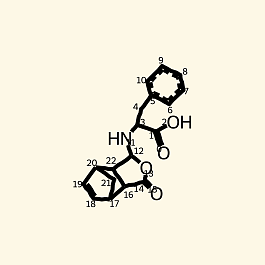 O=C(O)C(Cc1ccccc1)NC1OC(=O)C2C3C=CC(C3)C12